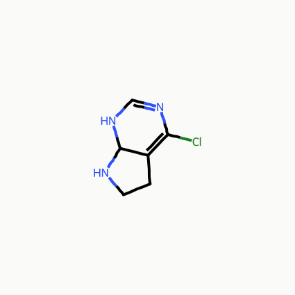 ClC1=C2CCNC2NC=N1